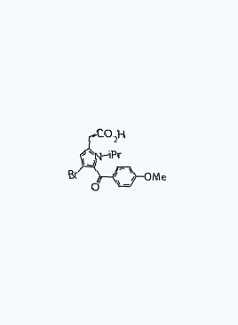 COc1ccc(C(=O)c2c(Br)cc(CC(=O)O)n2C(C)C)cc1